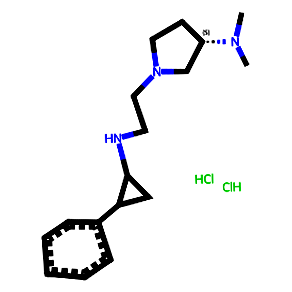 CN(C)[C@H]1CCN(CCNC2CC2c2ccccc2)C1.Cl.Cl